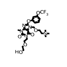 Cn1c(=O)n(CCOCCO)c(=O)c2c1nc(Oc1cccc(OC(F)(F)F)c1)n2COCC[Si](C)(C)C